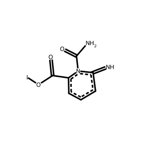 N=c1cccc(C(=O)OI)n1C(N)=O